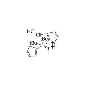 C[C](C)=[Ti]([C]1=CC=CC1)([c]1ccc[nH]1)([C](C)(C)C)[C](C)(C)C.Cl.Cl